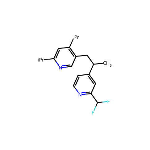 CC(C)c1cc(C(C)C)c(CC(C)c2ccnc(C(F)F)c2)cn1